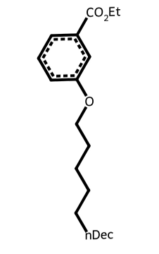 CCCCCCCCCCCCCCCOc1cccc(C(=O)OCC)c1